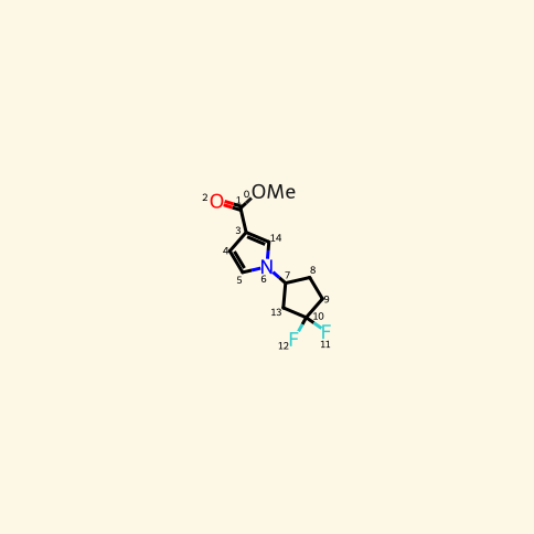 COC(=O)c1ccn(C2CCC(F)(F)C2)c1